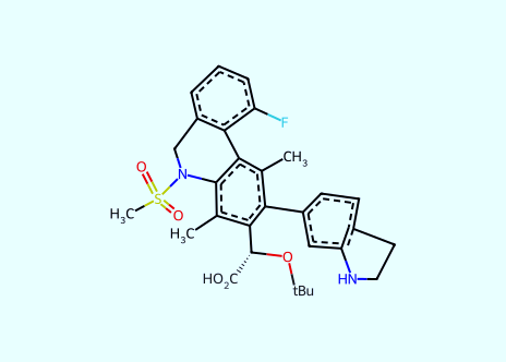 Cc1c(-c2ccc3c(c2)NCC3)c([C@H](OC(C)(C)C)C(=O)O)c(C)c2c1-c1c(F)cccc1CN2S(C)(=O)=O